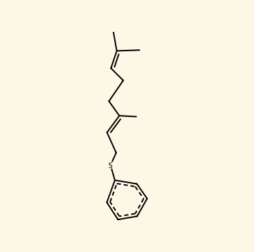 CC(C)=CCC/C(C)=C/CSc1ccccc1